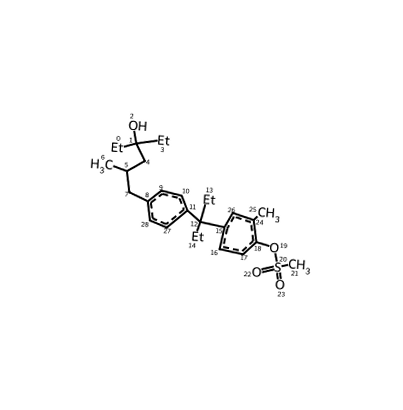 CCC(O)(CC)CC(C)Cc1ccc(C(CC)(CC)c2ccc(OS(C)(=O)=O)c(C)c2)cc1